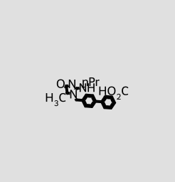 CCCNC1=NC(=O)C(C)N1Cc1ccc(-c2ccccc2C(=O)O)cc1